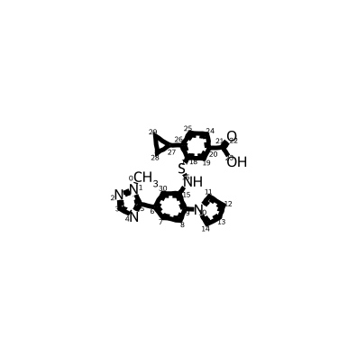 Cn1ncnc1-c1ccc(-n2cccc2)c(NSc2cc(C(=O)O)ccc2C2CC2)c1